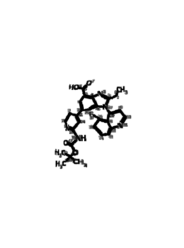 CCc1nc2c(C(=O)O)cc(-c3ccnc(NC(=O)OC(C)(C)C)c3)cc2n1-c1ccnc2cccc(F)c12